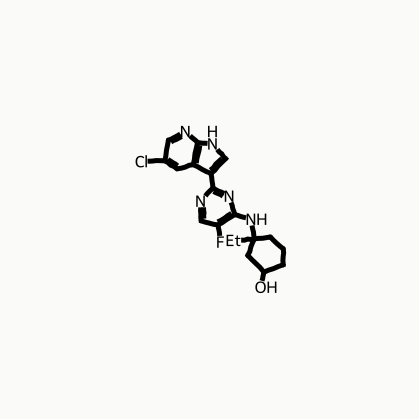 CCC1(Nc2nc(-c3c[nH]c4ncc(Cl)cc34)ncc2F)CCCC(O)C1